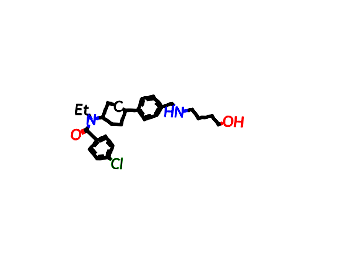 CCN(C(=O)c1ccc(Cl)cc1)C1CCC(c2ccc(CNCCCCO)cc2)CC1